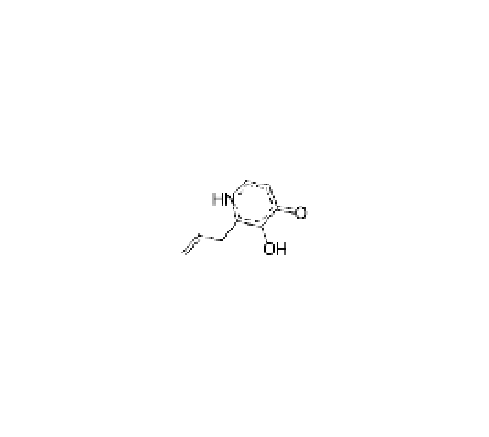 C=CCc1[nH]ccc(=O)c1O